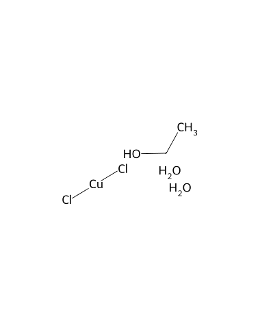 CCO.O.O.[Cl][Cu][Cl]